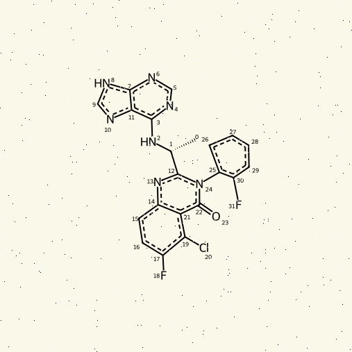 C[C@@H](Nc1ncnc2[nH]cnc12)c1nc2ccc(F)c(Cl)c2c(=O)n1-c1ccccc1F